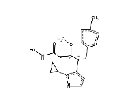 CO[C@H](CC(=O)NO)[C@H](Cc1ccc(C)cc1)c1ccnn1C1CC1